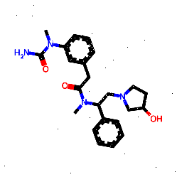 CN(C(N)=O)c1cccc(CC(=O)N(C)C(CN2CCC(O)C2)c2ccccc2)c1